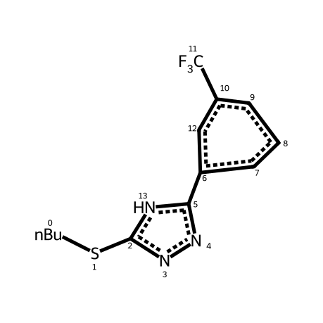 CCCCSc1nnc(-c2cccc(C(F)(F)F)c2)[nH]1